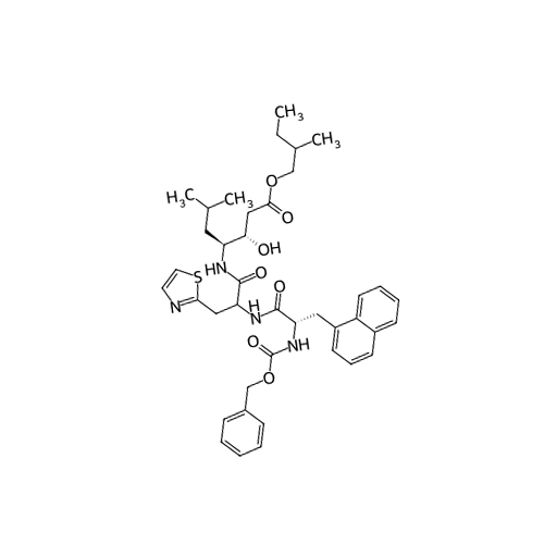 CCC(C)COC(=O)C[C@H](O)[C@H](CC(C)C)NC(=O)C(Cc1nccs1)NC(=O)[C@H](Cc1cccc2ccccc12)NC(=O)OCc1ccccc1